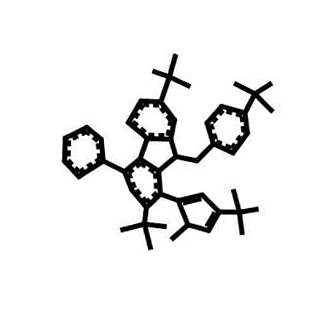 CC1C=C(C(C)(C)C)C=C1c1c(C(C)(C)C)cc(-c2ccccc2)c2c1C(Cc1ccc(C(C)(C)C)cc1)c1cc(C(C)(C)C)ccc1-2